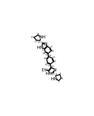 CCc1[nH]c([C@@H]2CCCN2)nc1-c1ccc(-c2ccc3nc([C@@H]4CCCN4)[nH]c3c2)cc1